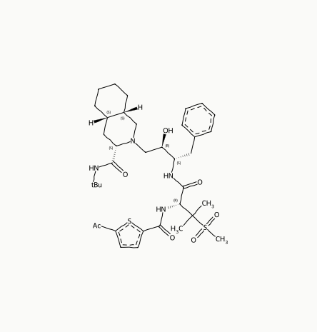 CC(=O)c1ccc(C(=O)N[C@H](C(=O)N[C@@H](Cc2ccccc2)[C@H](O)CN2C[C@H]3CCCC[C@H]3C[C@H]2C(=O)NC(C)(C)C)C(C)(C)S(C)(=O)=O)s1